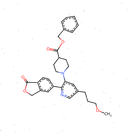 COCCCc1cnc(-c2ccc3c(c2)COC3=O)c(N2CCC(C(=O)OCc3ccccc3)CC2)c1